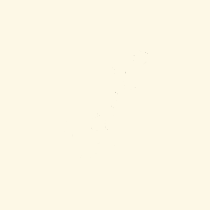 C=C/C(NC1=NC(c2nc(/C=C/C=C\C)nc(/C(C)=C/C=C\C)n2)=CCC1)=C(C=N)\C=C\c1ccncc1